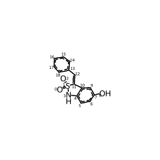 O=S1(=O)Nc2ccc(O)cc2C1=Cc1ccccc1